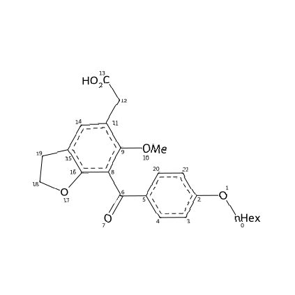 CCCCCCOc1ccc(C(=O)c2c(OC)c(CC(=O)O)cc3c2OCC3)cc1